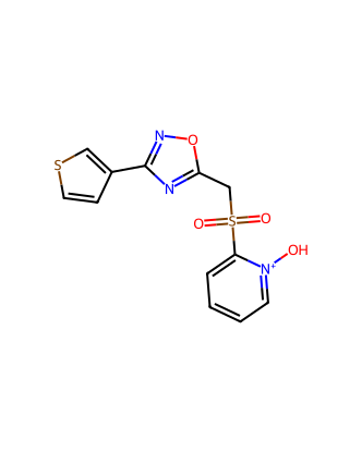 O=S(=O)(Cc1nc(-c2ccsc2)no1)c1cccc[n+]1O